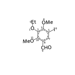 CCOc1c(OC)c(I)cc(C=O)c1OC